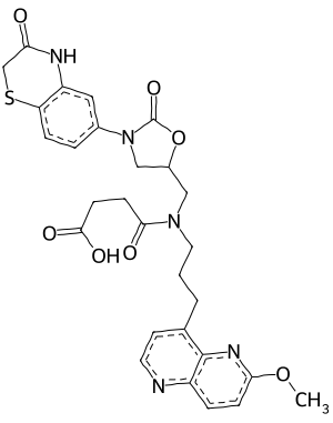 COc1ccc2nccc(CCCN(CC3CN(c4ccc5c(c4)NC(=O)CS5)C(=O)O3)C(=O)CCC(=O)O)c2n1